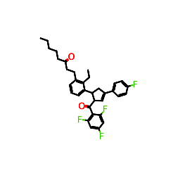 CCCCCC(=O)CCc1cccc(C2CC(c3ccc(F)cc3)=CC2C(=O)c2c(F)cc(F)cc2F)c1CC